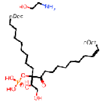 CCCCCCCC/C=C\CCCCCCCC(=O)C(CCCCCCCCCCCCCCCCCC)(OP(=O)(O)O)C(O)CO.NCCO